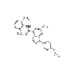 COc1ccc(-n2ncc3c(C(=O)Nc4c(C)ccnc4C)cc(C)nc32)cc1